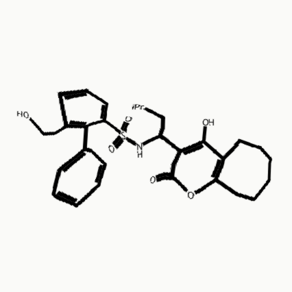 CC(C)CC(NS(=O)(=O)c1cccc(CO)c1-c1ccccc1)c1c(O)c2c(oc1=O)CCCCCC2